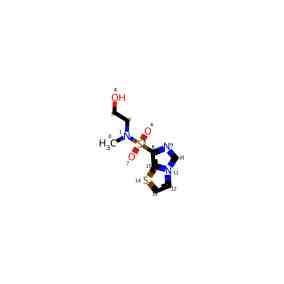 CN(CCO)S(=O)(=O)c1ncn2ccsc12